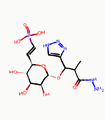 CC(C(=O)NN)C(O[C@H]1O[C@H](/C=C/P(=O)(O)O)[C@@H](O)[C@H](O)[C@@H]1O)c1c[nH]nn1